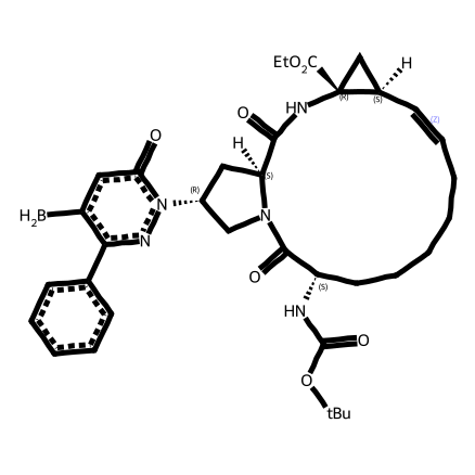 Bc1cc(=O)n([C@@H]2C[C@H]3C(=O)N[C@]4(C(=O)OCC)C[C@H]4/C=C\CCCCC[C@H](NC(=O)OC(C)(C)C)C(=O)N3C2)nc1-c1ccccc1